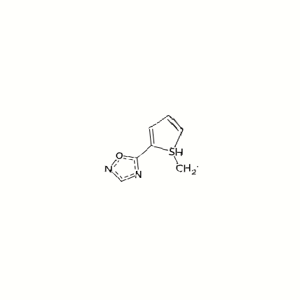 [CH2][SH]1C=CC=C1c1ncno1